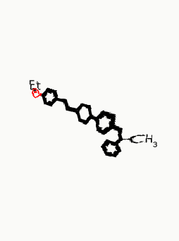 CCOc1ccc(CCC2CCC(c3ccc(C[C@H](C)c4ccccc4)cc3)CC2)cc1